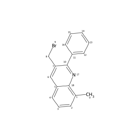 Cc1cccc2cc(CBr)c(-c3ccccc3)nc12